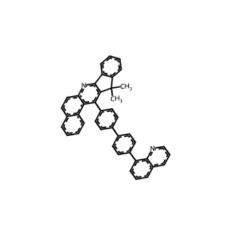 CC1(C)c2ccccc2-c2nc3ccc4ccccc4c3c(-c3ccc(-c4ccc(-c5cccc6cccnc56)cc4)cc3)c21